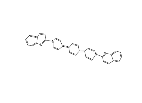 C1=CN(c2ccc3ccccc3n2)C=CC1=c1ccc(=C2C=CN(c3ccc4ccccc4n3)C=C2)cc1